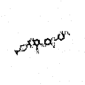 COc1ccc(COc2ccc(Nc3ccc4ncc(N5CCN(C6CC6)CC5)nc4c3C#N)cc2OC)cn1